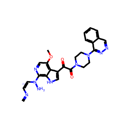 C=N/C=C\N(N)c1ncc(OC)c2c(C(=O)C(=O)N3CCN(c4nncc5ccccc45)CC3)c[nH]c12